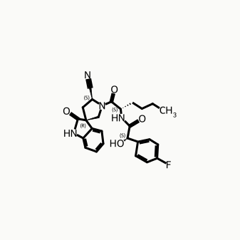 CCCC[C@H](NC(=O)[C@@H](O)c1ccc(F)cc1)C(=O)N1C[C@]2(C[C@H]1C#N)C(=O)Nc1ccccc12